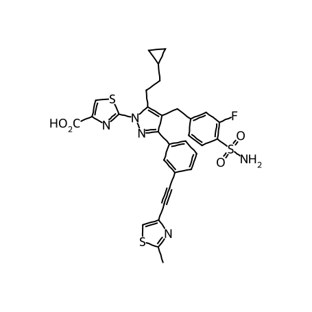 Cc1nc(C#Cc2cccc(-c3nn(-c4nc(C(=O)O)cs4)c(CCC4CC4)c3Cc3ccc(S(N)(=O)=O)c(F)c3)c2)cs1